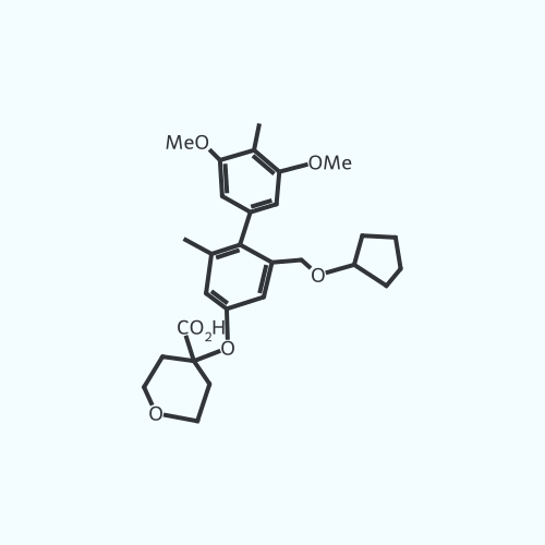 COc1cc(-c2c(C)cc(OC3(C(=O)O)CCOCC3)cc2COC2CCCC2)cc(OC)c1C